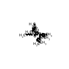 C=CCCCCCNC(=O)C1CC(Oc2cc(-c3cccc(C(C)C)n3)nc3c(C)c(OC)ccc23)CC1C(=O)NC1(C(=O)OCC)CC1C=C